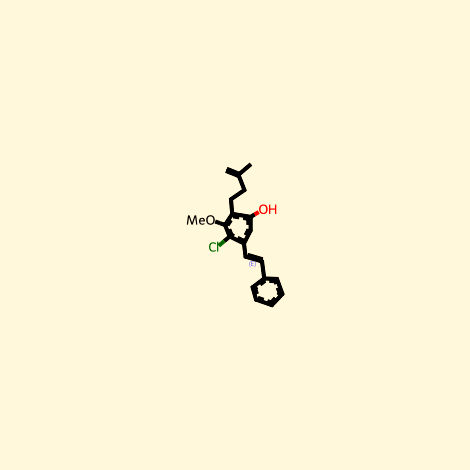 C=C(C)CCc1c(O)cc(/C=C/c2ccccc2)c(Cl)c1OC